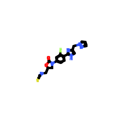 O=C1OC(CN=C=S)CN1c1ccc(-c2nc(Cn3cccn3)c[nH]2)c(F)c1